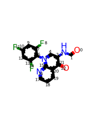 O=CNc1cn(-c2c(F)cc(F)cc2F)c2ncccc2c1=O